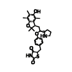 Cc1c(C)c2c(c(C)c1O)C(CC(Oc1ccc(CC3SC(=O)NC3=O)cc1)[C@H]1CCCN1)C(C)(C)O2